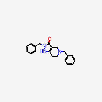 O=c1c2c([nH]n1Cc1ccccc1)CCN(Cc1ccccc1)C2